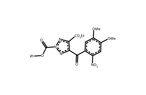 CCOC(=O)c1nn(C(=O)OC(C)C)nc1C(=O)c1cc(OC)c(OC)cc1[N+](=O)[O-]